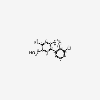 CCc1nc(C)c(-c2cccc(Cl)c2Cl)nc1C(=O)O